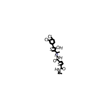 C/C(=N\NC(=O)c1ccc(C(=O)NN(C)C)s1)c1csc(-c2ccc(Cl)c(Cl)c2)c1O